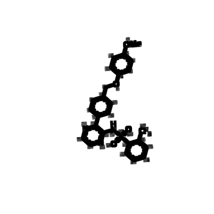 COc1ccc(OCc2ccc(-c3nccnc3NS(=O)(=O)c3ccccc3C(F)(F)F)cc2)cc1